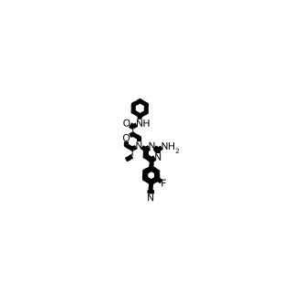 CC[C@@H]1CO[C@H](C(=O)NC2CCCCC2)CN1c1cc(-c2ccc(C#N)c(F)c2)nc(N)n1